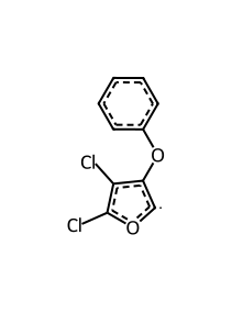 Clc1o[c]c(Oc2ccccc2)c1Cl